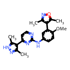 COc1ccc(Nc2nccc(-c3c(C)n[nH]c3C)n2)cc1-c1c(C)noc1C